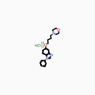 Cl.Cl.c1ccc(-n2cnc3cc(OCCCCN4CCOCC4)ccc32)cc1